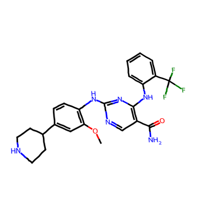 COc1cc(C2CCNCC2)ccc1Nc1ncc(C(N)=O)c(Nc2ccccc2C(F)(F)F)n1